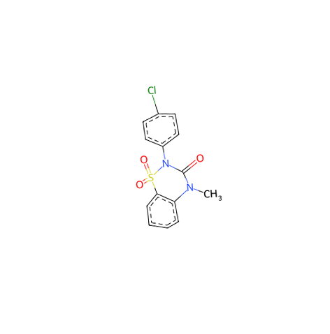 CN1C(=O)N(c2ccc(Cl)cc2)S(=O)(=O)c2ccccc21